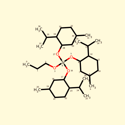 CCCO[Si](OC1CC(C)CCC1C(C)C)(OC1CC(C)CCC1C(C)C)OC1CC(C)CCC1C(C)C